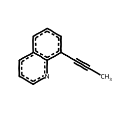 CC#Cc1cccc2cccnc12